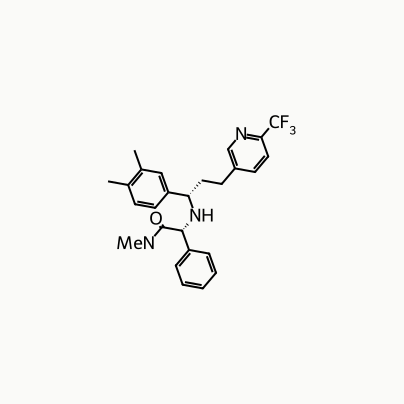 CNC(=O)[C@H](N[C@@H](CCc1ccc(C(F)(F)F)nc1)c1ccc(C)c(C)c1)c1ccccc1